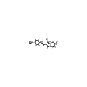 CCc1ccc(OCc2cc3ccc(C)cc3n2C)cc1